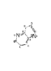 C1=C[N]C2=CCCN=C2C1